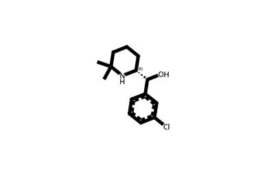 CC1(C)CCC[C@H](C(O)c2cccc(Cl)c2)N1